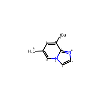 Cc1cc(C(C)(C)C)c2nccn2c1